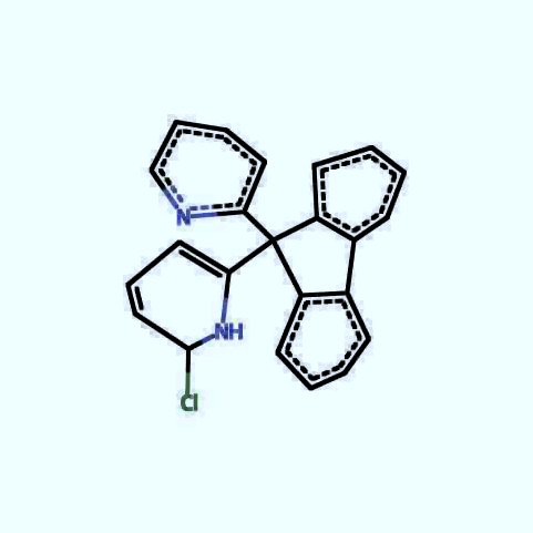 ClC1C=CC=C(C2(c3ccccn3)c3ccccc3-c3ccccc32)N1